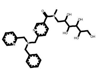 CN(CC(O)C(O)C(O)C(O)CO)C(=O)c1ccc(CN(Cc2ccccc2)Cc2ccccn2)nc1